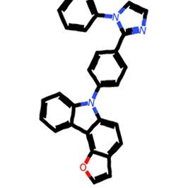 c1ccc(-n2ccnc2-c2ccc(-n3c4ccccc4c4c5occc5ccc43)cc2)cc1